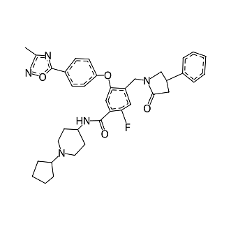 Cc1noc(-c2ccc(Oc3cc(C(=O)NC4CCN(C5CCCC5)CC4)c(F)cc3CN3CC(c4ccccc4)CC3=O)cc2)n1